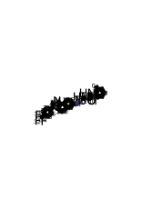 Cc1cccc(Cl)c1NC(=O)NS/N=C/c1ccc2c(ccc3c2ncn3-c2ccc(C(F)(F)F)cc2)c1